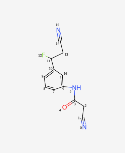 N#CCC(=O)Nc1cccc(C(F)CC#N)c1